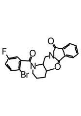 CC1CCCN(C(=O)c2cc(F)ccc2Br)C1CN1C(=O)c2ccccc2C1=O